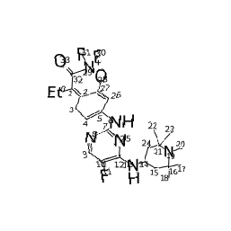 CCC1=C2CC=C(Nc3ncc(F)c(NC4CC(C)(C)N(C)C(C)(C)C4)n3)C=C2O[N+](F)(F)C1=O